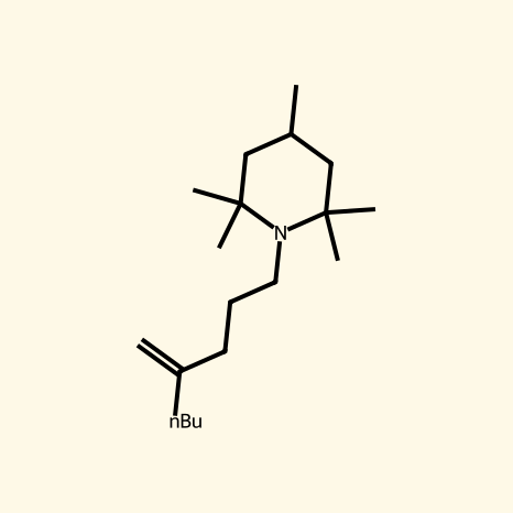 C=C(CCCC)CCCN1C(C)(C)CC(C)CC1(C)C